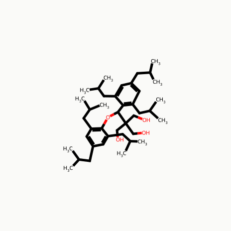 CC(C)Cc1cc(CC(C)C)c(OC(c2c(CC(C)C)cc(CC(C)C)cc2CC(C)C)C(CO)(CO)CO)c(CC(C)C)c1